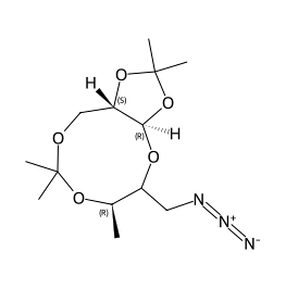 C[C@H]1OC(C)(C)OC[C@@H]2OC(C)(C)O[C@H]2OC1CN=[N+]=[N-]